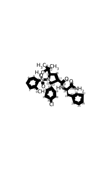 Cc1ccccc1S(=O)(=O)N1C(C(C)(C)C)C=C(C(=O)N[C@H](Cc2ccccc2)C(N)=O)[C@@H]1c1ccc(Cl)cc1